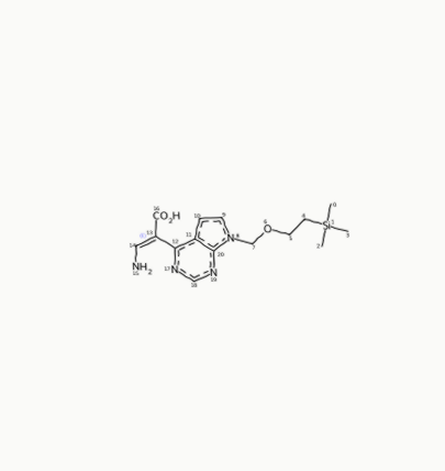 C[Si](C)(C)CCOCn1ccc2c(/C(=C\N)C(=O)O)ncnc21